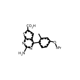 CCCOc1ccc(-c2nc(N)nc3sc(C(=O)O)cc23)c(C)c1